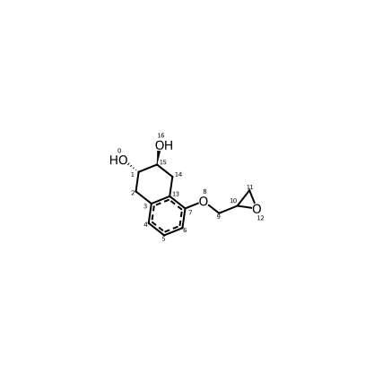 O[C@H]1Cc2cccc(OCC3CO3)c2C[C@@H]1O